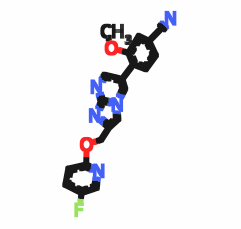 COc1cc(C#N)ccc1-c1cnc2nc(COc3ccc(F)cn3)cn2c1